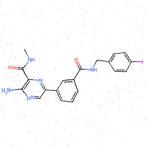 CNC(=O)c1nc(-c2cccc(C(=O)NCc3ccc(I)cc3)c2)cnc1N